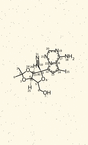 CC1(C)O[C@@H]2C(CO)O[C@@](C#N)(c3cc(I)c4c(N)ncnn34)[C@@H]2O1